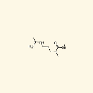 C=C(N)NCCCC(C)C(=O)NC